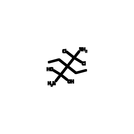 CCC(CC)(C(N)(O)O)C(N)(Cl)Cl